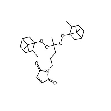 CC1CCC2CC1(OOC(C)(CCCN1C(=O)C=CC1=O)OOC13CC(CCC1C)C3(C)C)C2(C)C